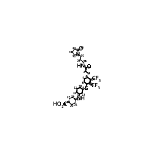 O=C(/C=C/c1ccc(Sc2cccc(N[C@H]3CC[C@@H](C(=O)O)CC3)c2)c(C(F)(F)F)c1C(F)(F)F)NCCCN1CCCC1=O